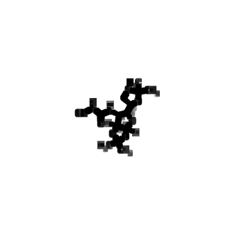 CC1(C)O[C@H]2O[C@H]([C@H]3COC(C)(C)O3)[C@H](NC(=O)NN=O)[C@H]2O1